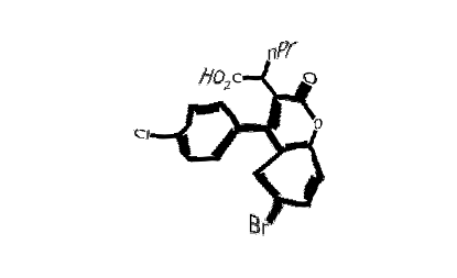 CCCC(C(=O)O)c1c(-c2ccc(Cl)cc2)c2cc(Br)ccc2oc1=O